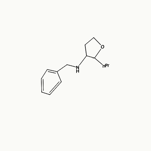 CCC[C]1OCCC1NCc1ccccc1